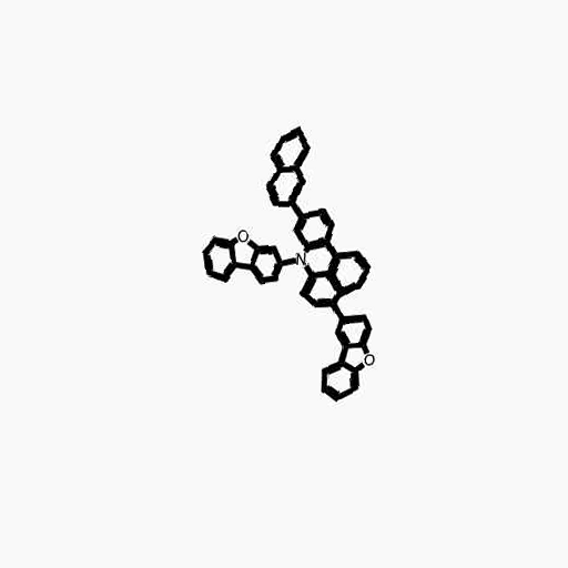 c1ccc(-c2ccc(-c3ccc4ccccc4c3)cc2N(c2ccc(-c3ccc4oc5ccccc5c4c3)cc2)c2ccc3c(c2)oc2ccccc23)cc1